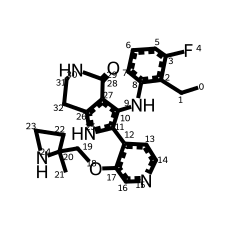 CCc1c(F)cccc1Nc1c(-c2ccncc2OCC2(C)CCN2)[nH]c2c1C(=O)NCC2